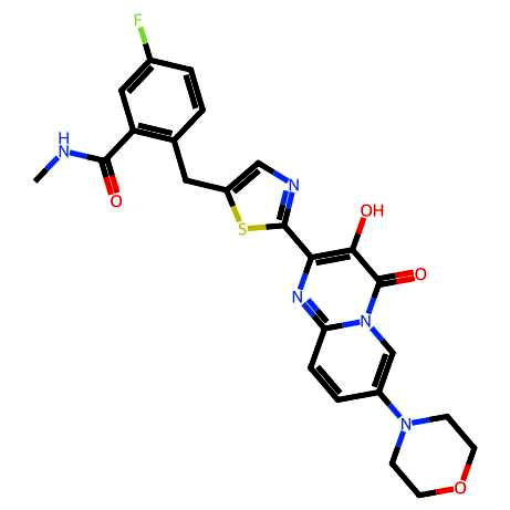 CNC(=O)c1cc(F)ccc1Cc1cnc(-c2nc3ccc(N4CCOCC4)cn3c(=O)c2O)s1